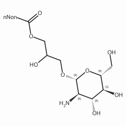 CCCCCCCCCC(=O)OCC(O)CO[C@@H]1O[C@H](CO)[C@@H](O)[C@H](O)[C@H]1N